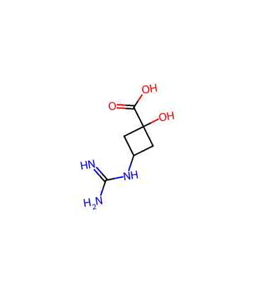 N=C(N)NC1CC(O)(C(=O)O)C1